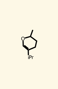 CC1CCC(C(C)C)=CO1